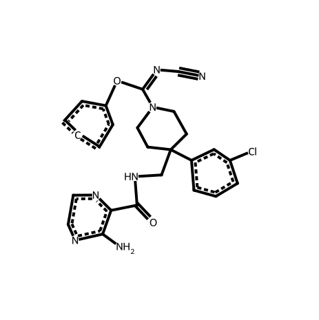 N#C/N=C(/Oc1ccccc1)N1CCC(CNC(=O)c2nccnc2N)(c2cccc(Cl)c2)CC1